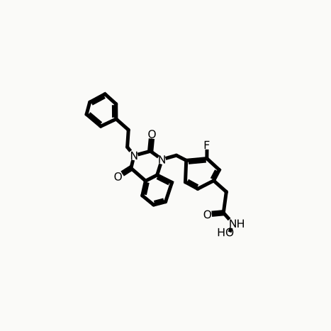 O=C(Cc1ccc(Cn2c(=O)n(CCc3ccccc3)c(=O)c3ccccc32)c(F)c1)NO